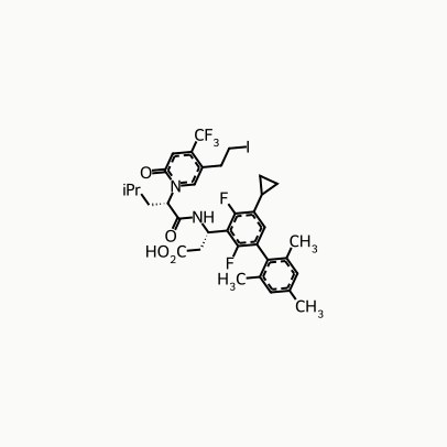 Cc1cc(C)c(-c2cc(C3CC3)c(F)c([C@H](CC(=O)O)NC(=O)[C@H](CC(C)C)n3cc(CCI)c(C(F)(F)F)cc3=O)c2F)c(C)c1